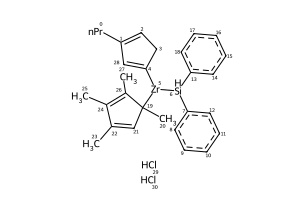 CCCC1=CC[C]([Zr]([SiH](c2ccccc2)c2ccccc2)[C]2(C)C=C(C)C(C)=C2C)=C1.Cl.Cl